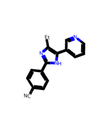 CCc1nc(-c2ccc(C#N)cc2)[nH]c1-c1cccnc1